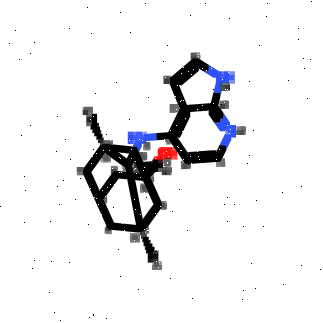 O[C@]12CC3C[C@H](C1)[C@H](Nc1ccnc4[nH]ccc14)[C@@H](C3)C2